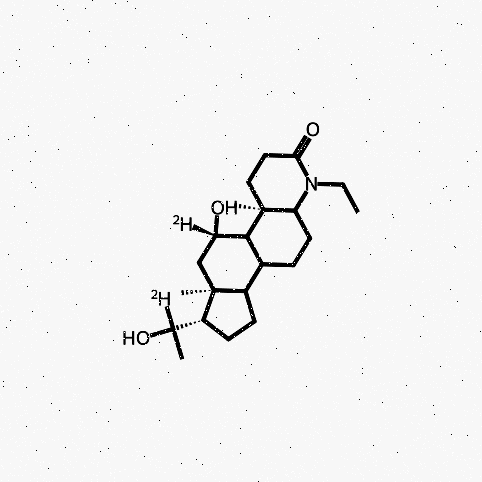 [2H]C(C)(O)[C@H]1CCC2C3CCC4N(CC)C(=O)CC[C@]4(C)C3[C@@]([2H])(O)C[C@@]21C